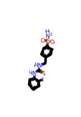 NS(=O)(=O)c1ccc(CNC(=S)Nc2ccccc2I)cc1